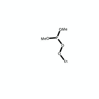 CCOOP(OC)OC